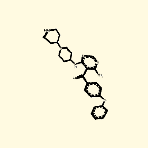 N=C(c1ccc(Oc2ccccc2)cc1)c1c(N)ncnc1NC1CCN(C2CCNCC2)CC1